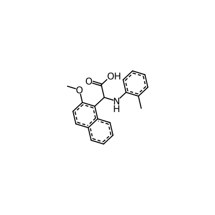 COc1ccc2ccccc2c1C(Nc1ccccc1C)C(=O)O